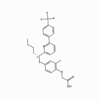 CCCC[C@@H](Sc1ccc(OCC(=O)O)c(C)c1)c1cccc(-c2ccc(C(F)(F)F)cc2)n1